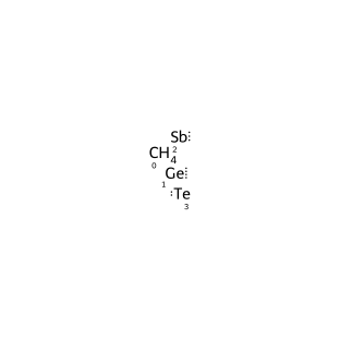 C.[Ge].[Sb].[Te]